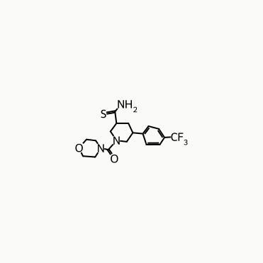 NC(=S)C1CC(c2ccc(C(F)(F)F)cc2)CN(C(=O)N2CCOCC2)C1